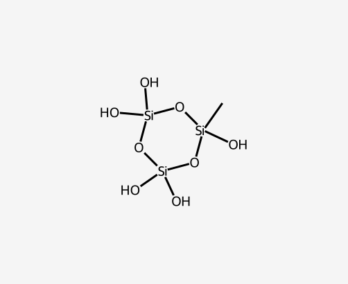 C[Si]1(O)O[Si](O)(O)O[Si](O)(O)O1